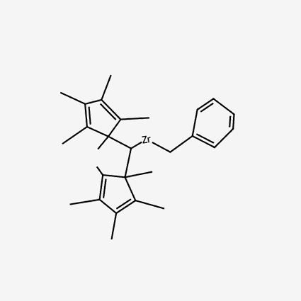 CC1=C(C)C(C)([CH]([Zr][CH2]c2ccccc2)C2(C)C(C)=C(C)C(C)=C2C)C(C)=C1C